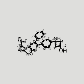 C[C@]1(O)C[C@](N)(c2ccc(-c3nc4c(cc3-c3ccccc3)-n3c(nnc3C(F)F)CO4)cc2)C1